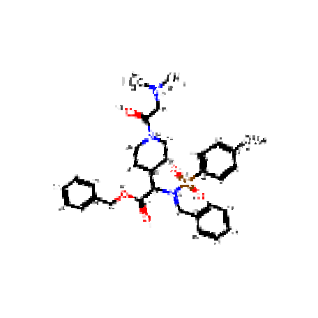 COc1ccc(S(=O)(=O)N(Cc2ccccc2)C(C(=O)OCc2ccccc2)C2CCN(C(=O)CN(C)C)CC2)cc1